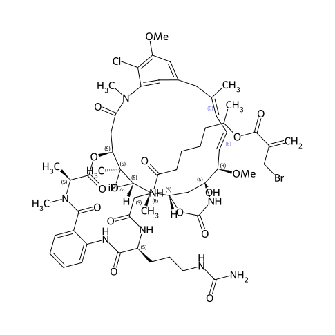 C=C(CBr)C(=O)OC(C)CCCCC(=O)N[C@H](C(=O)N[C@@H](CCCNC(N)=O)C(=O)Nc1ccccc1C(=O)N(C)[C@@H](C)C(=O)O[C@H]1CC(=O)N(C)c2cc(cc(OC)c2Cl)C/C(C)=C/C=C/[C@@H](OC)[C@@]2(O)C[C@H](OC(=O)N2)[C@@H](C)[C@@H]2O[C@@]12C)C(C)C